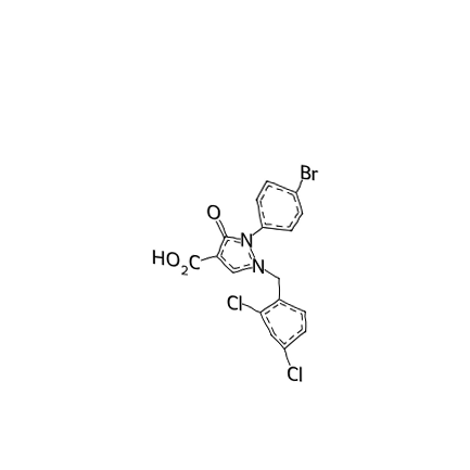 O=C(O)c1cn(Cc2ccc(Cl)cc2Cl)n(-c2ccc(Br)cc2)c1=O